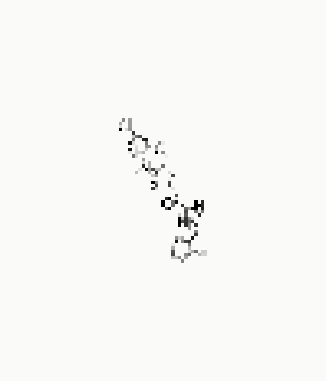 CN1C(=S)[C@@H](CCCC(=O)c2ncn(Cc3ccccc3F)n2)COc2cc(Cl)cnc21